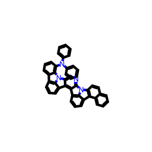 c1ccc(N(c2ccccc2)c2cccc3c4cccc5c6c7c8cccc9c%10c%11ccccc%11ccc%10n(c7ncc6n(c23)c45)c98)cc1